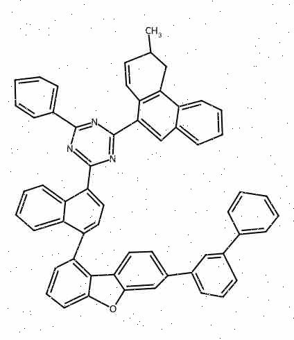 CC1C=Cc2c(-c3nc(-c4ccccc4)nc(-c4ccc(-c5cccc6oc7cc(-c8cccc(-c9ccccc9)c8)ccc7c56)c5ccccc45)n3)cc3ccccc3c2C1